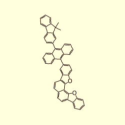 CC1(C)c2ccccc2-c2ccc(-c3c4ccccc4c(-c4ccc5oc6c(ccc7ccc8c9ccccc9oc8c76)c5c4)c4ccccc34)cc21